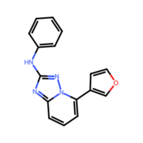 c1ccc(Nc2nc3cccc(-c4ccoc4)n3n2)cc1